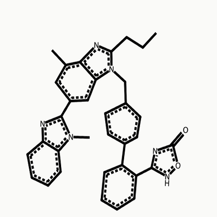 CCCc1nc2c(C)cc(-c3nc4ccccc4n3C)cc2n1Cc1ccc(-c2ccccc2-c2nc(=O)o[nH]2)cc1